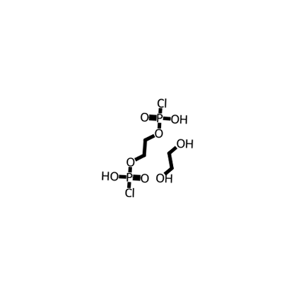 O=P(O)(Cl)OCCOP(=O)(O)Cl.OCCO